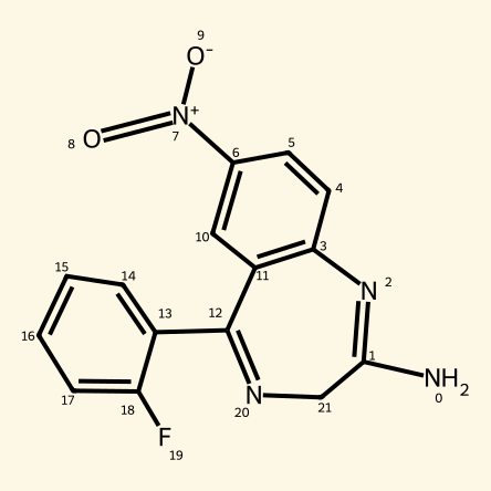 NC1=Nc2ccc([N+](=O)[O-])cc2C(c2ccccc2F)=NC1